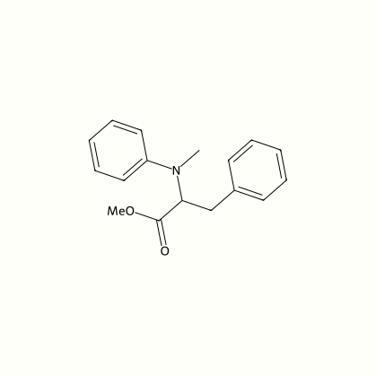 COC(=O)C(Cc1ccccc1)N(C)c1ccccc1